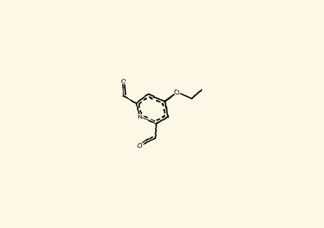 CCOc1cc(C=O)nc(C=O)c1